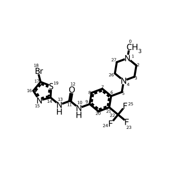 CN1CCN(Cc2ccc(NC(=O)Nc3ncc(Br)s3)cc2C(F)(F)F)CC1